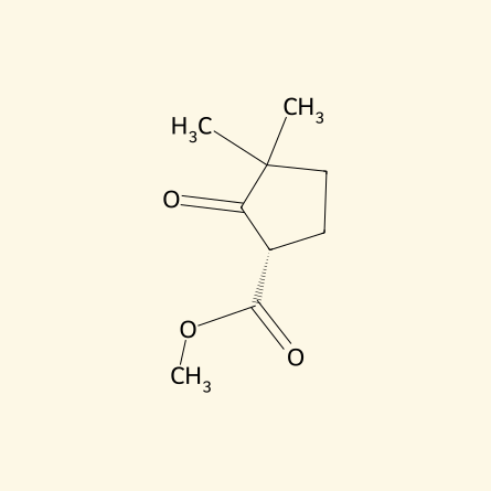 COC(=O)[C@H]1CCC(C)(C)C1=O